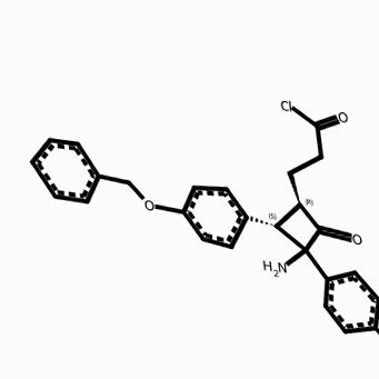 NC1(c2ccc(F)cc2)C(=O)[C@H](CCC(=O)Cl)[C@H]1c1ccc(OCc2ccccc2)cc1